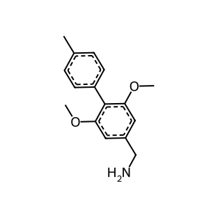 COc1cc(CN)cc(OC)c1-c1ccc(C)cc1